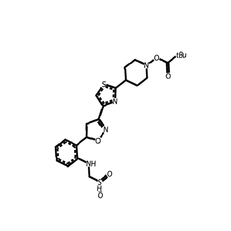 CC(C)(C)C(=O)ON1CCC(c2nc(C3=NOC(c4ccccc4NC[SH](=O)=O)C3)cs2)CC1